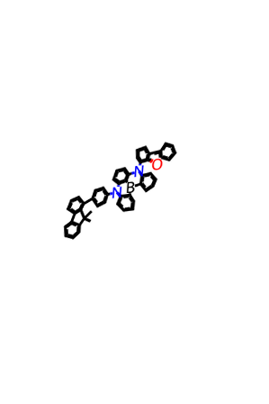 CC1(C)c2ccccc2-c2cccc(-c3ccc(N4c5ccccc5B5c6ccccc6N(c6cccc7c6oc6ccccc67)c6cccc4c65)cc3)c21